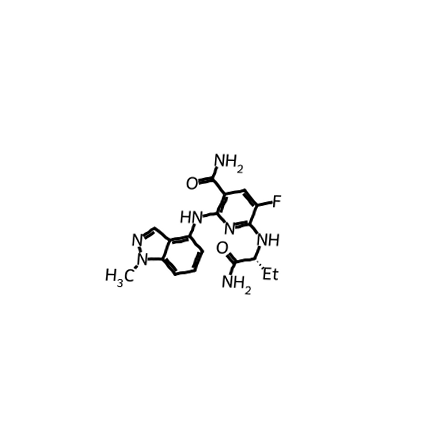 CC[C@@H](Nc1nc(Nc2cccc3c2cnn3C)c(C(N)=O)cc1F)C(N)=O